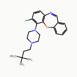 CC(C)(CCN1CCN(c2c(F)ccc3c2Oc2ccccc2C=N3)CC1)C(=O)O